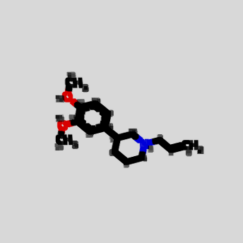 C=CCN1CCCC(c2ccc(OC)c(OC)c2)C1